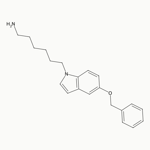 NCCCCCCn1ccc2cc(OCc3ccccc3)ccc21